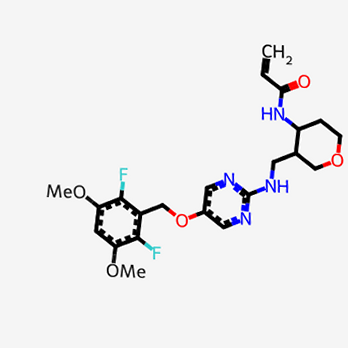 C=CC(=O)NC1CCOCC1CNc1ncc(OCc2c(F)c(OC)cc(OC)c2F)cn1